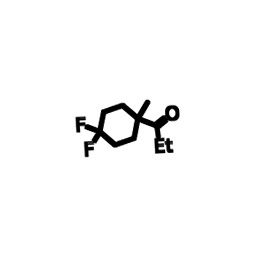 CCC(=O)C1(C)CCC(F)(F)CC1